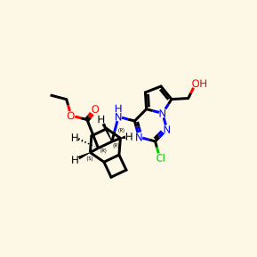 CCOC(=O)[C@H]1[C@H](Nc2nc(Cl)nn3c(CO)ccc23)[C@@H]2CC[C@H]1C1CCC12